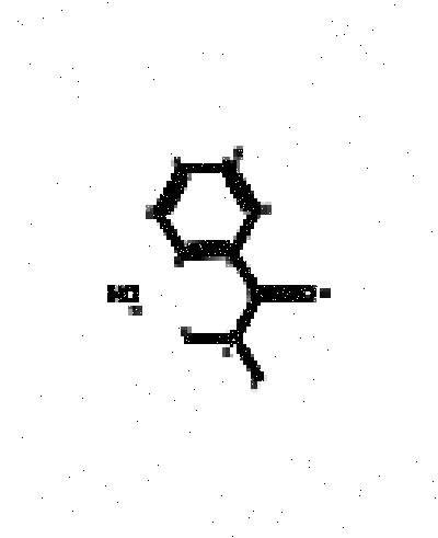 CN(C)C(=O)c1cccnc1.Cl